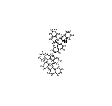 c1ccc2cc3c(cc2c1)c1c(-n2c4ccccc4c4ccc5ccccc5c42)cccc1n3-c1ccc2cc(-c3nc4ccccc4nc3-c3cccc4ccccc34)ccc2c1